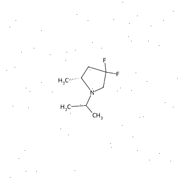 CC(C)N1CC(F)(F)C[C@H]1C